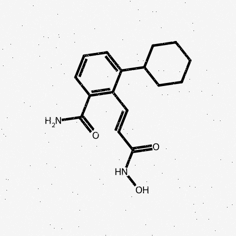 NC(=O)c1cccc(C2CCCCC2)c1C=CC(=O)NO